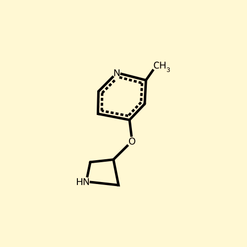 Cc1cc(OC2CNC2)ccn1